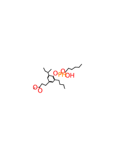 CCCCCC(O)OPOc1c(CCCC)cc(CCC(=O)OC)cc1C(C)CC